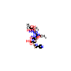 CCCC(C)(O)P(=O)(O)Nc1nc(/C(=N/OC)C(=O)N[C@@H]2C(=O)N3C(C(=O)O)=C(Sc4nc(-c5ccncc5)cs4)CS[C@H]23)ns1